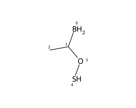 BC(C)OS